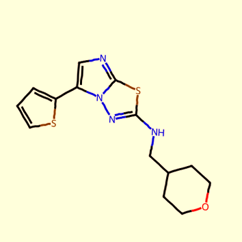 c1csc(-c2cnc3sc(NCC4CCOCC4)nn23)c1